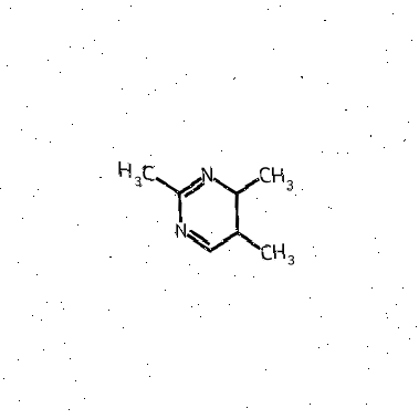 CC1=NC(C)C(C)C=N1